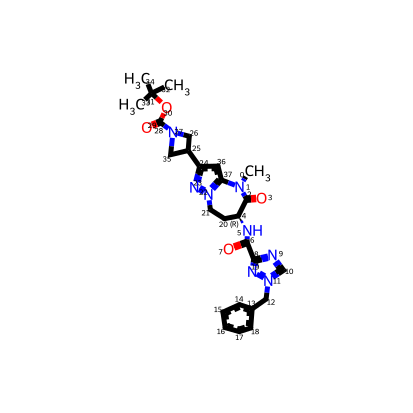 CN1C(=O)[C@H](NC(=O)c2ncn(Cc3ccccc3)n2)CCn2nc(C3CN(C(=O)OC(C)(C)C)C3)cc21